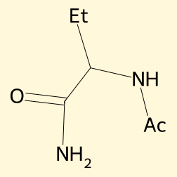 CCC(NC(C)=O)C(N)=O